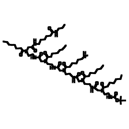 CCCCCCC(=O)N(CCNC(=O)CN(CCNC(=O)CN(CCNC(=O)CN(CCNC(=O)CN(CCNC(=O)OC(C)(C)C)C(=O)CCCCCC)C(=O)CCCCCC)C(=O)CCCCCNC)C(=O)CCCCCC)CC(=O)NCCCCCC(=O)NCCC